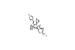 CCS(=O)(=O)c1cc(-c2ccc(F)cc2)c2nccn2c1-c1nc2c(n1C)=NC=C(C(F)(F)F)CC=2